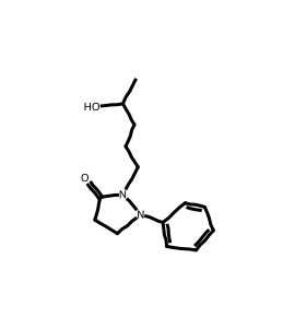 CC(O)CCCN1C(=O)CCN1c1ccccc1